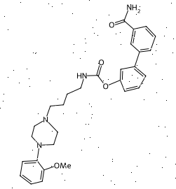 COc1ccccc1N1CCN(CCCCNC(=O)Oc2cccc(-c3cccc(C(N)=O)c3)c2)CC1